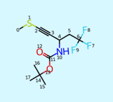 CSC#CC(CC(F)(F)F)NC(=O)OC(C)(C)C